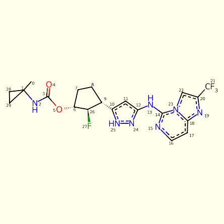 CC1(NC(=O)O[C@@H]2CC[C@H](c3cc(Nc4nccc5nc(C(F)(F)F)cn45)n[nH]3)[C@H]2F)CC1